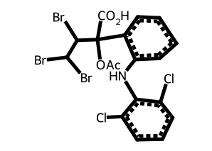 CC(=O)OC(C(=O)O)(c1ccccc1Nc1c(Cl)cccc1Cl)C(Br)C(Br)Br